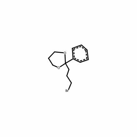 BrCCCC1(c2ccccc2)OCCCO1